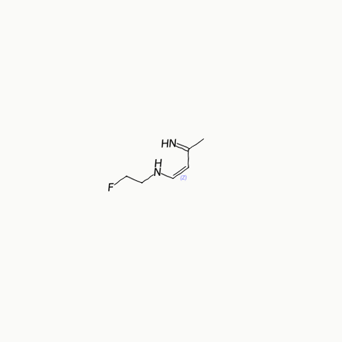 CC(=N)/C=C\NCCF